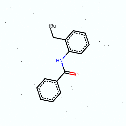 CC(C)(C)Cc1ccccc1NC(=O)c1ccccc1